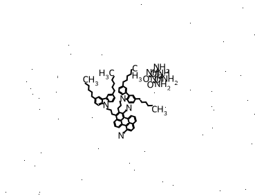 CCCCCCc1ccc2c(c1)c1cc(CCCCCC)ccc1n2CCCc1c(CCCn2c3ccc(CCCCCC)cc3c3cc(CCCCCC)ccc32)c2cccc3c4c(C#N)ccc5cccc(c(c1C#N)c23)c54.NC(=O)NC(N)=O.NC(=O)NC(N)=O